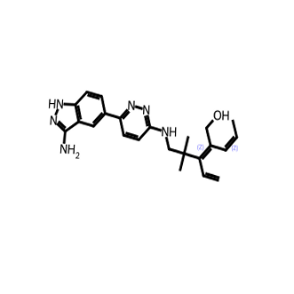 C=C/C(=C(\C=C/C)CO)C(C)(C)CNc1ccc(-c2ccc3[nH]nc(N)c3c2)nn1